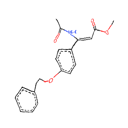 COC(=O)C=C(NC(C)=O)c1ccc(OCc2ccccc2)cc1